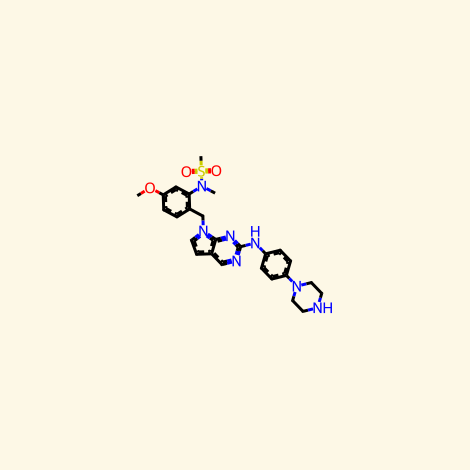 COc1ccc(Cn2ccc3cnc(Nc4ccc(N5CCNCC5)cc4)nc32)c(N(C)S(C)(=O)=O)c1